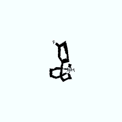 CN[C@]1(c2cccc(F)c2)CCCCC12CCO2